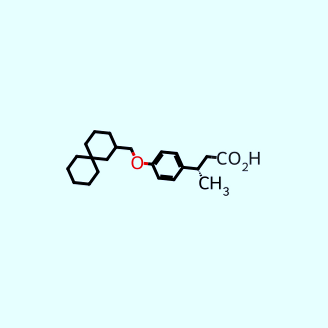 C[C@@H](CC(=O)O)c1ccc(OCC2CCCC3(CCCCC3)C2)cc1